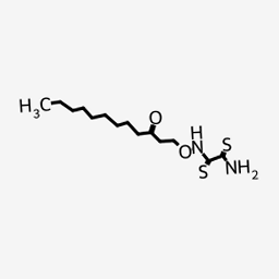 CCCCCCCCCC(=O)CCONC(=S)C(N)=S